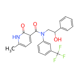 Cc1ccc(C(=O)N(CC(O)c2ccccc2)c2cccc(C(F)(F)F)c2)c(=O)[nH]1